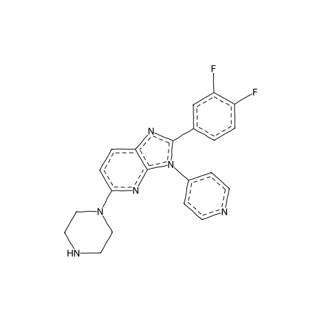 Fc1ccc(-c2nc3ccc(N4CCNCC4)nc3n2-c2ccncc2)cc1F